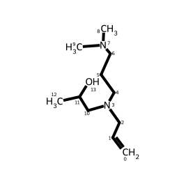 C=CCN(CCCN(C)C)CC(C)O